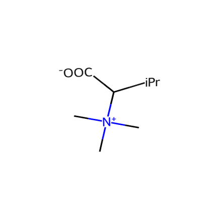 CC(C)C(C(=O)[O-])[N+](C)(C)C